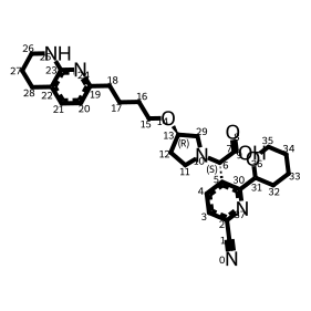 N#Cc1ccc([C@@H](C(=O)O)N2CC[C@@H](OCCCCc3ccc4c(n3)NCCC4)C2)c(C2CCCCO2)n1